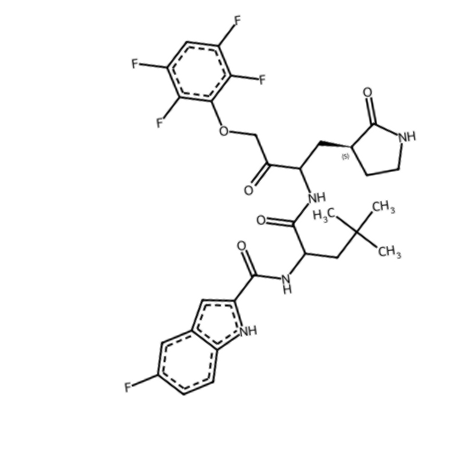 CC(C)(C)CC(NC(=O)c1cc2cc(F)ccc2[nH]1)C(=O)NC(C[C@@H]1CCNC1=O)C(=O)COc1c(F)c(F)cc(F)c1F